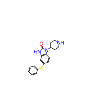 O=c1[nH]c2cc(Sc3ccccc3)ccc2n1C1CCNCC1